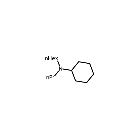 CCCCCCN(CCC)C1CCCCC1